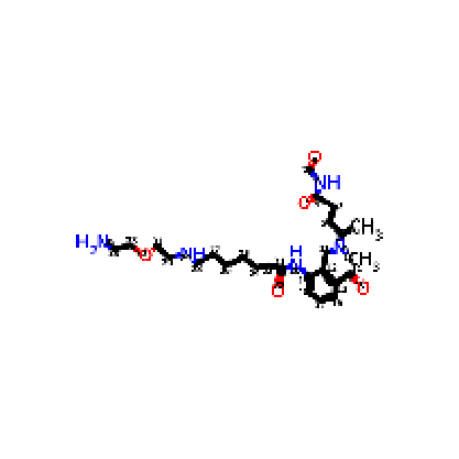 CC(CCC(=O)NC=O)N(C)Cc1c(C=O)cccc1NC(=O)CCCCCCNCCOCCN